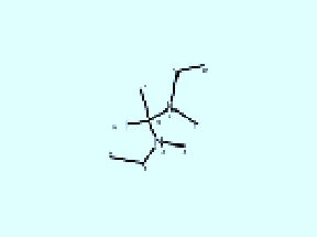 CCN(C)C(C)(I)N(C)CC